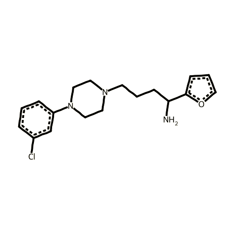 NC(CCCN1CCN(c2cccc(Cl)c2)CC1)c1ccco1